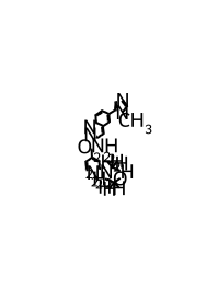 [2H]C1([2H])OC([2H])([2H])C([2H])([2H])N(c2cc(C(=O)Nc3cc4cc(-c5cncn5C)ccc4nn3)ccn2)C1([2H])[2H]